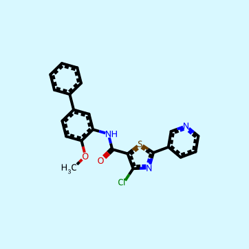 COc1ccc(-c2ccccc2)cc1NC(=O)c1sc(-c2cccnc2)nc1Cl